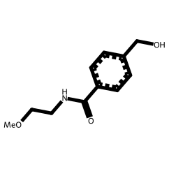 COCCNC(=O)c1ccc(CO)cc1